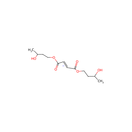 CC(O)CCOC(=O)/C=C/C(=O)OCCC(C)O